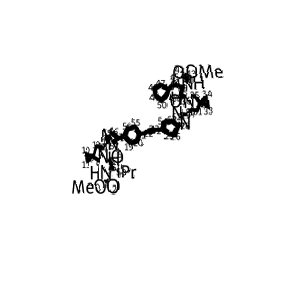 COC(=O)N[C@H](C(=O)N1CC2(CC2)C[C@H]1c1ncc(-c2ccc(C#Cc3ccc4nc([C@@H]5CC6(CC6)CN5C(=O)[C@H](NC(=O)OC)[C@H](C)c5ccccc5)[nH]c4c3)cc2)[nH]1)C(C)C